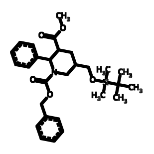 COC(=O)C1CC(CO[Si](C)(C)C(C)(C)C)CN(C(=O)OCc2ccccc2)C1c1ccccc1